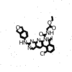 CCOC(=O)CNC(=O)Nc1nc2nc(Nc3ccc4c(c3)COC4)ncc2cc1-c1c(Cl)cccc1CI